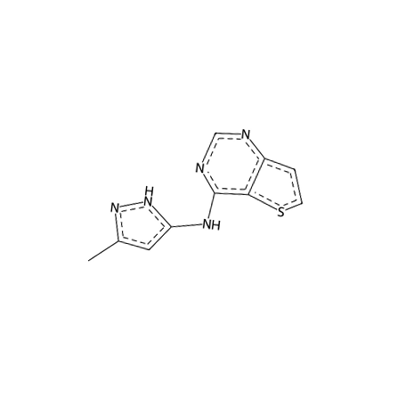 Cc1cc(Nc2ncnc3ccsc23)[nH]n1